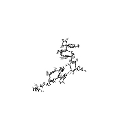 Cc1cc(Nc2nccc(OCC3CNC3)n2)cc(-c2cnc(C3(O)CCC3)s2)c1